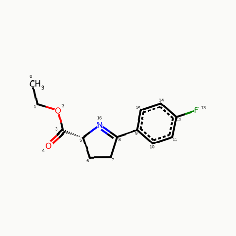 CCOC(=O)[C@H]1CCC(c2ccc(F)cc2)=N1